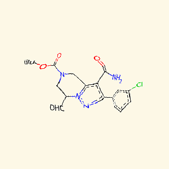 CC(C)(C)OC(=O)N1Cc2c(C(N)=O)c(-c3cccc(Cl)c3)nn2C(C=O)C1